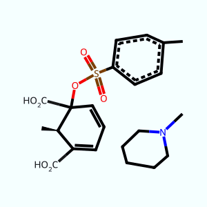 CN1CCCCC1.Cc1ccc(S(=O)(=O)OC2(C(=O)O)C=CC=C(C(=O)O)[C@H]2C)cc1